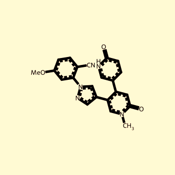 COc1ccc(C#N)c(-n2cc(-c3cn(C)c(=O)cc3-c3ccc(=O)[nH]c3)cn2)c1